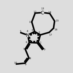 C=c1c2c(n(C)/c1=C/C=C\C)CCCCCCC2